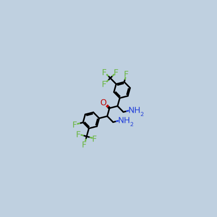 NCC(C(=O)C(CN)c1ccc(F)c(C(F)(F)F)c1)c1ccc(F)c(C(F)(F)F)c1